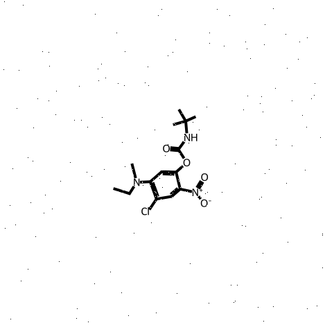 CCN(C)c1cc(OC(=O)NC(C)(C)C)c([N+](=O)[O-])cc1Cl